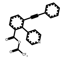 O=C(OC(=O)C(F)(F)F)c1cccc(C#Cc2ccccc2)c1-c1ccncc1